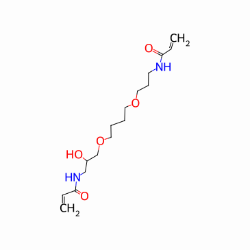 C=CC(=O)NCCCOCCCCOCC(O)CNC(=O)C=C